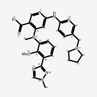 CCC(=O)c1cnc(Nc2ccc(CN3CCCC3)cn2)cc1N(C)c1cccc(-c2ncn(C)n2)c1OC